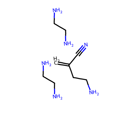 C=C(C#N)CCN.NCCN.NCCN